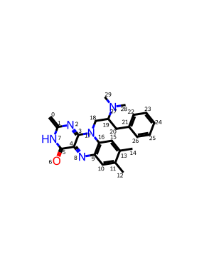 C=c1nc2c(c(=O)[nH]1)=Nc1cc(C)c(C)cc1N2CC(Cc1ccccc1)N(C)C